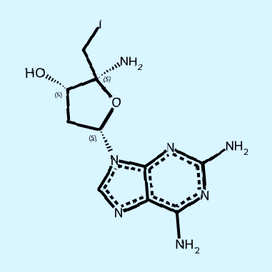 Nc1nc(N)c2ncn([C@@H]3C[C@H](O)[C@@](N)(CI)O3)c2n1